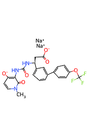 Cn1ccc([O-])c(NC(=O)N[C@@H](CC(=O)[O-])c2cccc(-c3ccc(OC(F)(F)F)cc3)c2)c1=O.[Na+].[Na+]